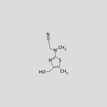 Cc1sc(N(C)CC#N)nc1CO